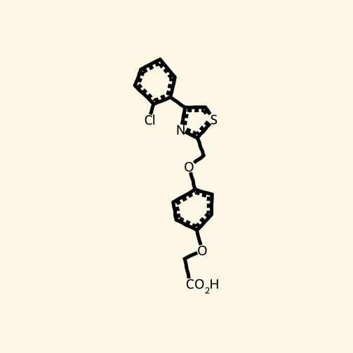 O=C(O)COc1ccc(OCc2nc(-c3ccccc3Cl)cs2)cc1